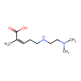 CC(=CCCNCCN(C)C)C(=O)O